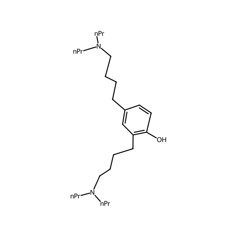 CCCN(CCC)CCCCc1ccc(O)c(CCCCN(CCC)CCC)c1